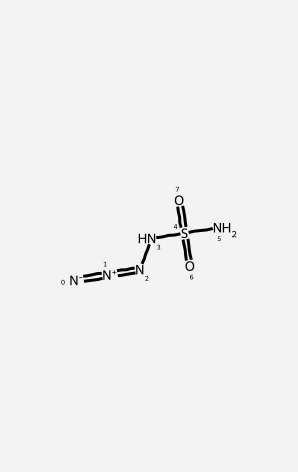 [N-]=[N+]=NNS(N)(=O)=O